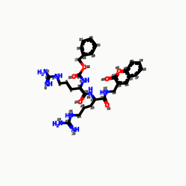 N=C(N)NCCCC(NC(=O)OCc1ccccc1)C(=O)NC(CCCNC(=N)N)C(=O)NCc1cc2ccccc2oc1=O